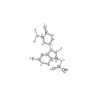 Cc1c(-c2ccc(=O)n(C(C)C)c2)c2cc(F)ccc2n1CC(=O)O